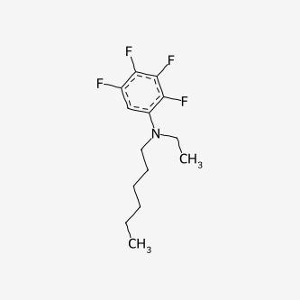 CCCCCCN(CC)c1cc(F)c(F)c(F)c1F